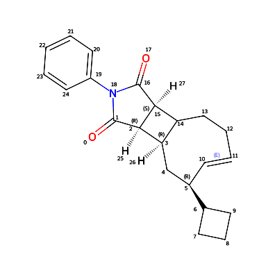 O=C1[C@@H]2[C@@H]3C[C@H](C4CCC4)/C=C/CCC3[C@@H]2C(=O)N1c1ccccc1